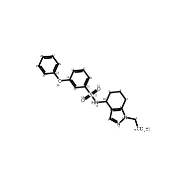 CCOC(=O)Cn1ncc2c1CCCC2NS(=O)(=O)c1cccc(Oc2ccccc2)c1